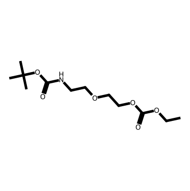 CCOC(=O)OCCOCCNC(=O)OC(C)(C)C